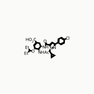 CCC(CC)O[C@@H]1C=C(C(=O)O)C[C@H](NC(=O)c2cc(-c3ccc(Cl)cc3)nn2CC2CC2)[C@H]1NC(C)=O